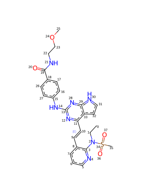 CCN(c1ncccc1/C=C/c1nc(Nc2ccc(C(=O)NCCOC)cc2)nc2[nH]ccc12)S(C)(=O)=O